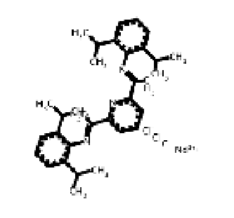 CC(=Nc1c(C(C)C)cccc1C(C)C)c1cccc(C(C)=Nc2c(C(C)C)cccc2C(C)C)n1.[Cl-].[Cl-].[Cl-].[Nd+3]